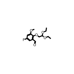 CCOC(COc1c(C=O)cc(F)cc1OC)OCC